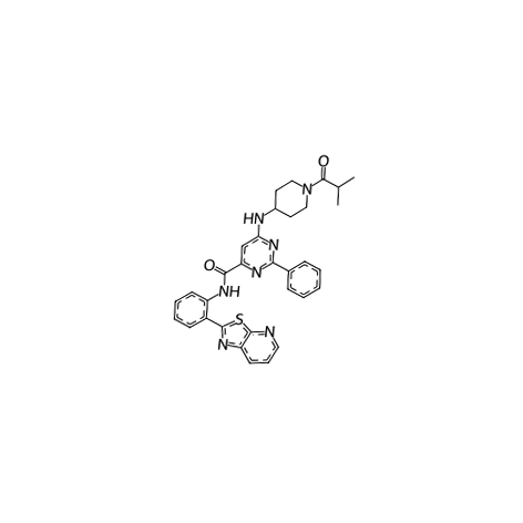 CC(C)C(=O)N1CCC(Nc2cc(C(=O)Nc3ccccc3-c3nc4cccnc4s3)nc(-c3ccccc3)n2)CC1